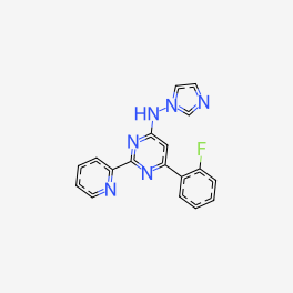 Fc1ccccc1-c1cc(Nn2ccnc2)nc(-c2ccccn2)n1